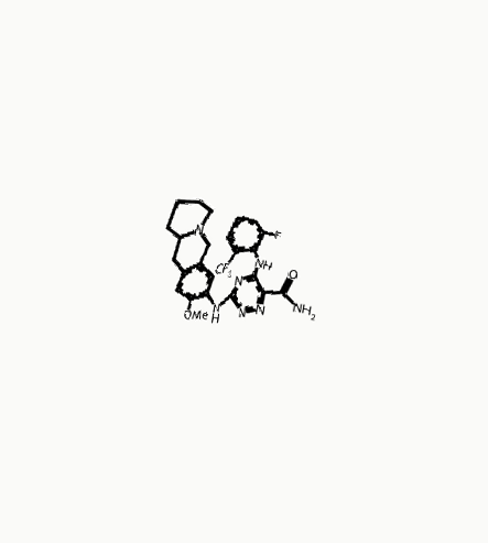 COc1cc2c(cc1Nc1nnc(C(N)=O)c(Nc3c(F)cccc3C(F)(F)F)n1)CN1CCCCC1C2